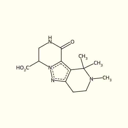 CN1CCc2nn3c(c2C1(C)C)C(=O)NCC3C(=O)O